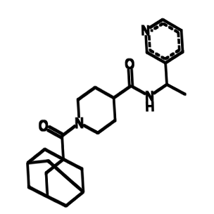 CC(NC(=O)C1CCN(C(=O)C23CC4CC(CC(C4)C2)C3)CC1)c1cccnc1